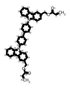 C=CC(=O)OCc1ccc2c(c1)c1ccccc1n2-c1ccc(-c2ccc(-n3c4ccccc4c4cc(COC(=O)C=C)ccc43)cc2)cc1